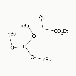 CCCC[O][Ti]([O]CCCC)[O]CCCC.CCOC(=O)CC(C)=O